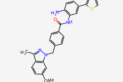 COc1ccc2c(C)nn(Cc3ccc(C(=O)Nc4cc(-c5cccs5)ccc4N)cc3)c2c1